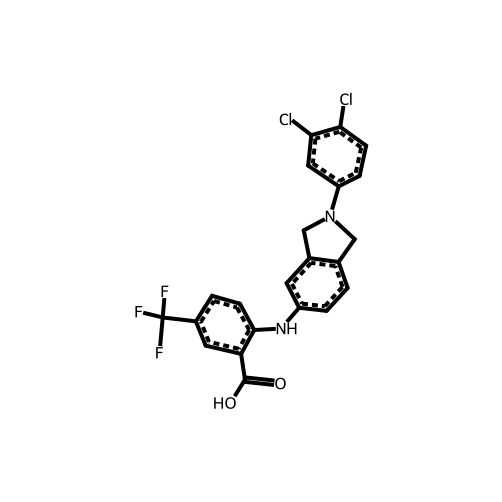 O=C(O)c1cc(C(F)(F)F)ccc1Nc1ccc2c(c1)CN(c1ccc(Cl)c(Cl)c1)C2